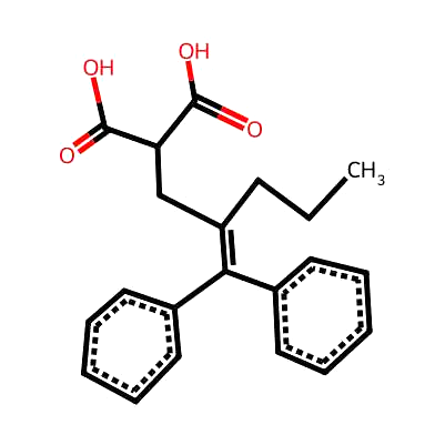 CCCC(CC(C(=O)O)C(=O)O)=C(c1ccccc1)c1ccccc1